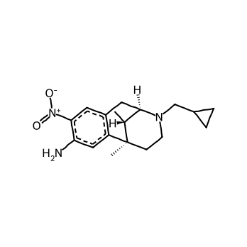 C[C@@H]1[C@H]2Cc3cc([N+](=O)[O-])c(N)cc3[C@]1(C)CCN2CC1CC1